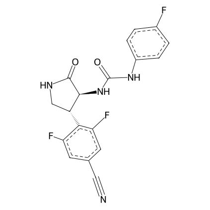 N#Cc1cc(F)c([C@@H]2CNC(=O)[C@H]2NC(=O)Nc2ccc(F)cc2)c(F)c1